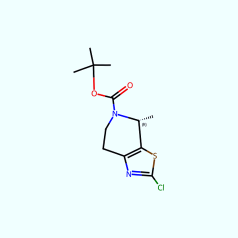 C[C@@H]1c2sc(Cl)nc2CCN1C(=O)OC(C)(C)C